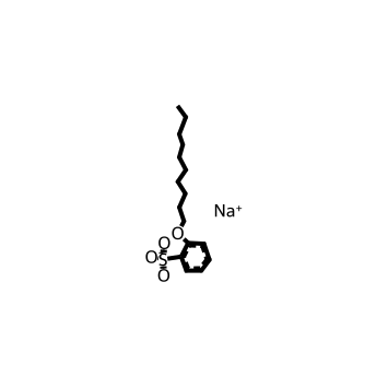 CCCCCCCCCCOc1ccccc1S(=O)(=O)[O-].[Na+]